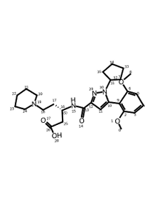 COc1cccc(OC)c1-c1cc(C(=O)N[C@@H](CCN2CCCCC2)CC(=O)O)nn1C1CCCC1